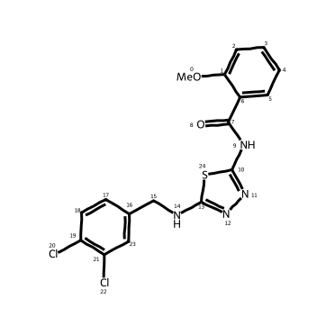 COc1ccccc1C(=O)Nc1nnc(NCc2ccc(Cl)c(Cl)c2)s1